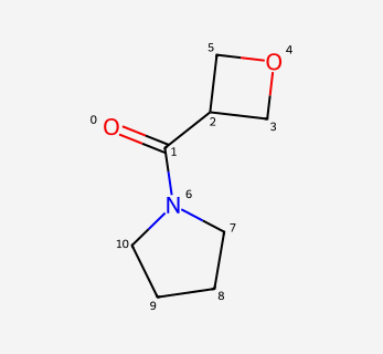 O=C(C1COC1)N1CCCC1